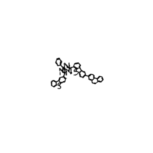 c1ccc(-c2nc(-c3ccc4sc5ccccc5c4c3)nc(-c3cccc4c3sc3ccc(-c5ccc6c(ccc7ccccc76)c5)cc34)n2)cc1